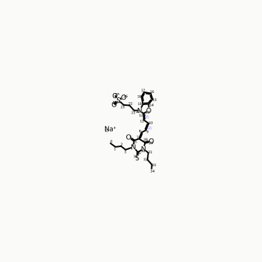 CCCCN1C(=O)C(=C/C=C\C=C2/Oc3ccccc3N2CCCS(=O)(=O)[O-])C(=O)N(CCCC)C1=S.[Na+]